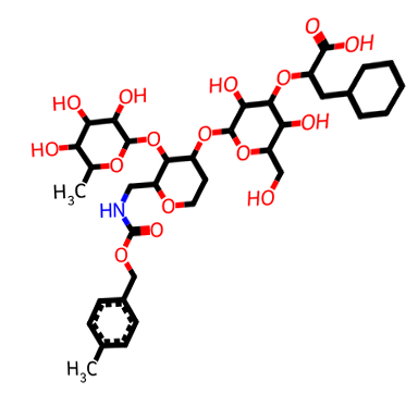 Cc1ccc(COC(=O)NCC2OCCC(OC3OC(CO)C(O)C(OC(CC4CCCCC4)C(=O)O)C3O)C2OC2OC(C)C(O)C(O)C2O)cc1